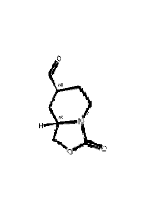 O=C[C@H]1CCN2C(=O)OC[C@@H]2C1